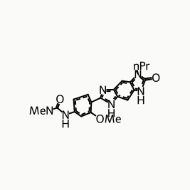 CCCn1c(=O)[nH]c2cc3[nH]c(-c4ccc(NC(=O)NC)cc4OC)nc3cc21